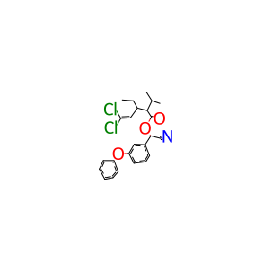 CCC(C=C(Cl)Cl)C(C(=O)OC(C#N)c1cccc(Oc2ccccc2)c1)C(C)C